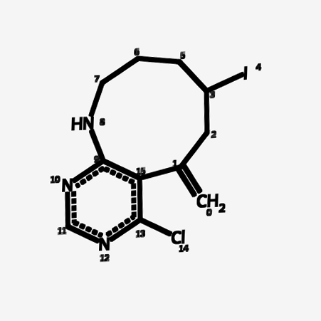 C=C1CC(I)CCCNc2ncnc(Cl)c21